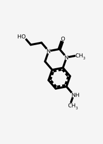 CNc1ccc2c(c1)N(C)C(=O)N(CCO)C2